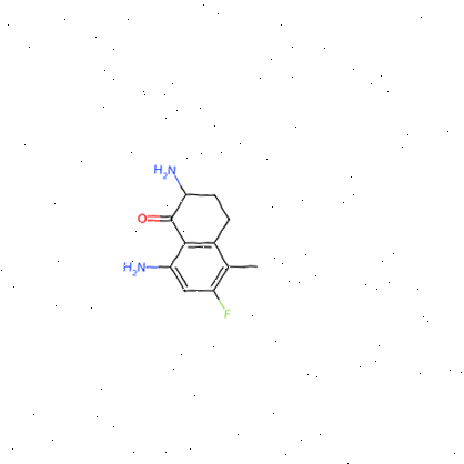 Cc1c(F)cc(N)c2c1CCC(N)C2=O